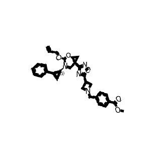 C=CCOC(=O)N(CC1(c2noc(C3CN(Cc4ccc(C(=O)OC)cc4)C3)n2)CC1)[C@H]1CC1c1ccccc1